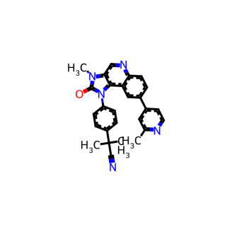 Cc1cc(-c2ccc3ncc4c(c3c2)n(-c2ccc(C(C)(C)C#N)cc2)c(=O)n4C)ccn1